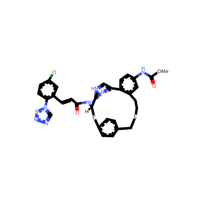 COC(=O)Nc1ccc2c(c1)CCCCc1ccc(cc1)C[C@H](NC(=O)/C=C/c1cc(Cl)ccc1-n1cnnn1)c1nc-2c[nH]1